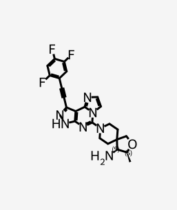 C[C@@H]1OCC2(CCN(c3nc4[nH]nc(C#Cc5cc(F)c(F)cc5F)c4c4nccn34)CC2)[C@@H]1N